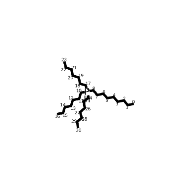 CCCCCCCCC[PH](CCCCCCC)(CCCCCCC)CCCCCCC